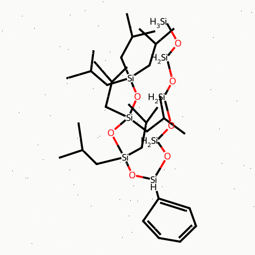 CC(C)C[Si](CC(C)C)(CC(C)C)O[Si](CC(C)C)(CC(C)C)O[Si](CC(C)C)(CC(C)C)O[SiH](O[SiH2]O[SiH2]O[SiH2]O[SiH3])c1ccccc1